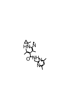 C=N/C(NC1(C)CC1)=C(\C)C(C(=O)NCc1nc(C)cc(C)n1)=C(C)C